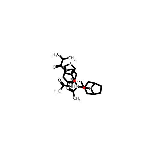 CC(=O)N[C@@H](CCN1C2CCC1CC(n1c(C)nc3c1CCN(C(=O)C(C)C)C3)C2)c1ccsc1